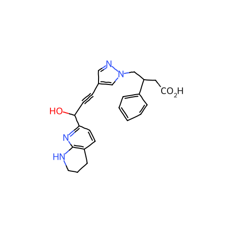 O=C(O)CC(Cn1cc(C#CC(O)c2ccc3c(n2)NCCC3)cn1)c1ccccc1